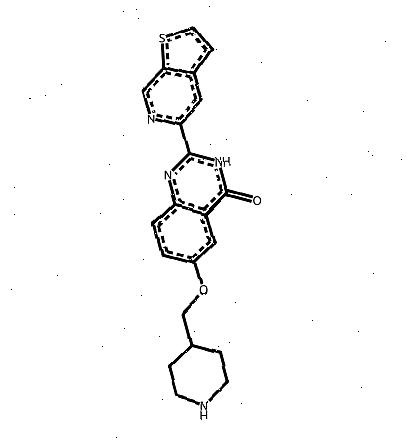 O=c1[nH]c(-c2cc3ccsc3cn2)nc2ccc(OCC3CCNCC3)cc12